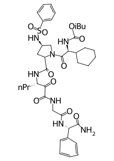 CCC[C@H](NC(=O)C1C[C@@H](NS(=O)(=O)c2ccccc2)CN1C(=O)[C@@H](NC(=O)OCC(C)C)C1CCCCC1)C(=O)C(=O)NCC(=O)N[C@H](C(N)=O)c1ccccc1